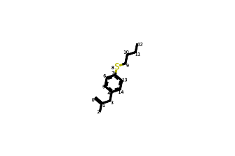 C=C(C)Cc1ccc(SCCCC)cc1